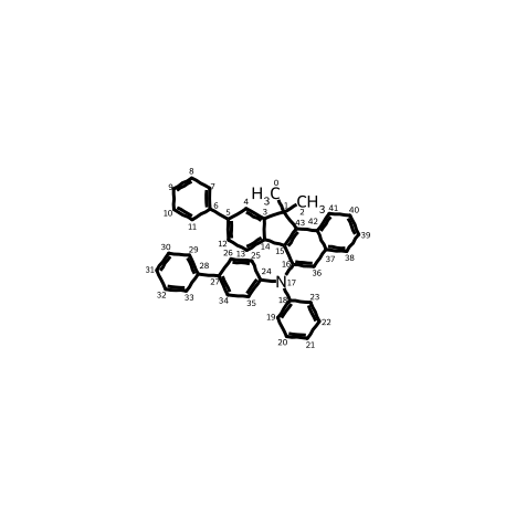 CC1(C)c2cc(-c3ccccc3)ccc2-c2c(N(c3ccccc3)c3ccc(-c4ccccc4)cc3)cc3ccccc3c21